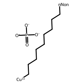 CCCCCCCCCCCCCCCCC[CH2][Cu+3].O=P([O-])([O-])[O-]